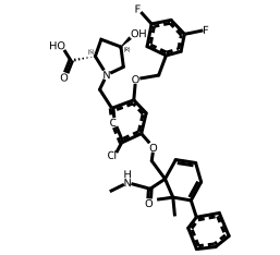 CNC(=O)C1(COc2cc(OCc3cc(F)cc(F)c3)c(CN3C[C@H](O)C[C@H]3C(=O)O)cc2Cl)C=CC=C(c2ccccc2)C1(C)C